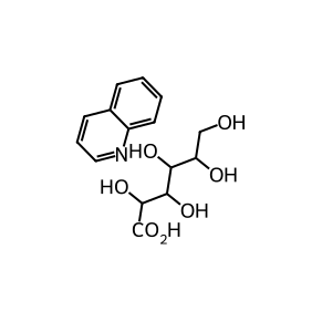 O=C(O)C(O)C(O)C(O)C(O)CO.c1ccc2ncccc2c1